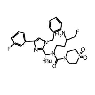 CC(C)(C)[C@H](c1nc(-c2cccc(F)c2)cn1Cc1ccccc1)N(CC[C@@H](N)CF)C(=O)N1CCS(=O)(=O)CC1